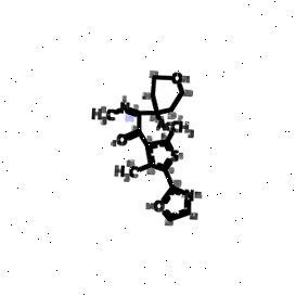 C/N=C(\C(=O)c1c(C)sc(-c2ncco2)c1C)C1(C(C)=O)CCOCC1